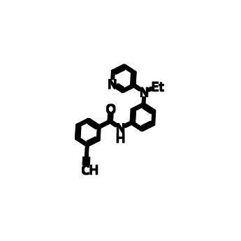 C#Cc1cccc(C(=O)Nc2cccc(N(CC)c3cccnc3)c2)c1